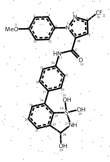 COc1ccc(-n2nc(C(F)(F)F)cc2C(=O)Nc2ccc(-c3cccc4c3S(O)(O)NC4O)cc2)cc1